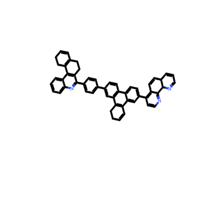 C1=CC2C=Cc3c(-c4ccc5c(c4)c4c(c6cc(-c7ccc(-c8nc9ccccc9c9c8CCC8=C9CCC=C8)cc7)ccc65)CCC=C4)ccnc3C2N=C1